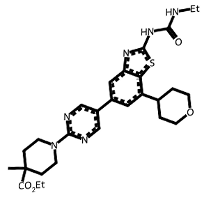 CCNC(=O)Nc1nc2cc(-c3cnc(N4CCC(C)(C(=O)OCC)CC4)nc3)cc(C3CCOCC3)c2s1